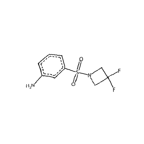 Nc1cccc(S(=O)(=O)N2CC(F)(F)C2)c1